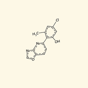 Cc1cc(Cl)cc(O)c1-c1ccc2ocnc2n1